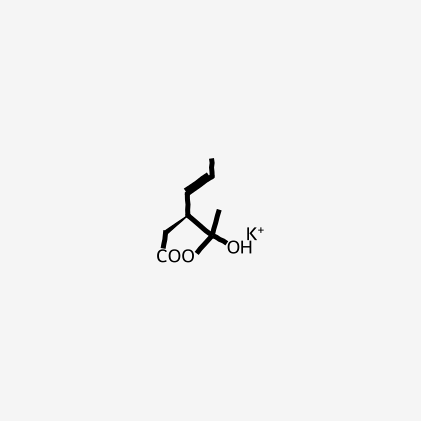 CC=C[C@H](CC(=O)[O-])C(C)(C)O.[K+]